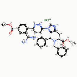 COC(=O)c1ccc(-c2ccc(-n3cnc(CC(C(=O)OC)N(Cc4ccccc4)Cc4ccccc4)c3)nn2)c(C(=N)N)c1.Cl